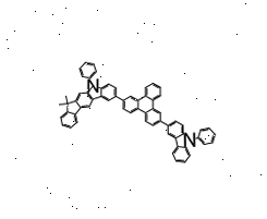 CC1(C)c2ccccc2-c2cc3c4cc(-c5ccc6c7ccc(-c8ccc9c(c8)c8ccccc8n9-c8ccccc8)cc7c7ccccc7c6c5)ccc4n(-c4ccccc4)c3cc21